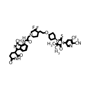 Cn1nc(C2CCC(=O)NC2=O)c2cccc(NC(=O)CN3CCC(CCO[C@H]4CC[C@H](N5C(=S)N(c6cnc(C#N)c(C(F)(F)F)c6)C(=O)C5(C)C)CC4)C(F)(F)C3)c21